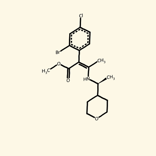 COC(=O)/C(=C(/C)N[C@@H](C)C1CCOCC1)c1ccc(Cl)cc1Br